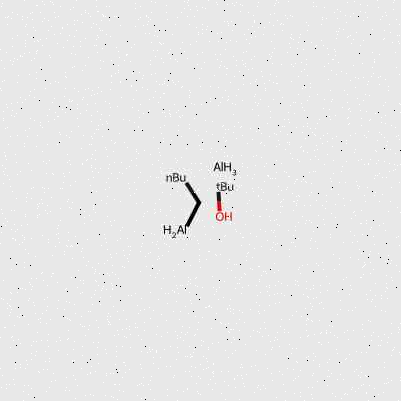 CC(C)(C)O.CCCC[CH2][AlH2].[AlH3]